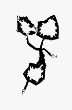 OC(Cn1cncn1)(c1ccccc1)c1ccc(F)cc1